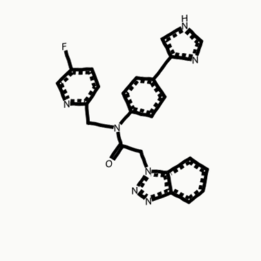 O=C(Cn1nnc2ccccc21)N(Cc1ccc(F)cn1)c1ccc(-c2c[nH]cn2)cc1